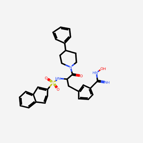 N=C(NO)c1cccc(CC(NS(=O)(=O)c2ccc3ccccc3c2)C(=O)N2CCC(c3ccccc3)CC2)c1